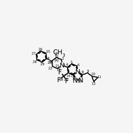 C[C@H]1CN(c2ccn3c(CC4CC4)nnc3c2C(F)(F)F)CC[C@H]1c1ccccc1